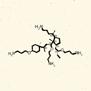 CC[C@H](C[C@@H]1CC[C@H]([C@H](C)CCCN)[C@@]1(C)[C@H](C[C@@H](C)[C@]1(C)CC[C@H](OCCCN)CC1)OCCCN)OCCCN